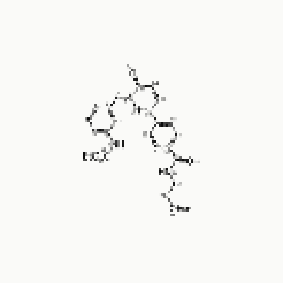 CCOC(=O)Nc1cccc(Cn2nc(-c3ccc(C(=O)NCCOC)cc3)ccc2=O)c1